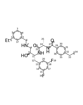 CCc1cccc(CNC[C@H](O)[C@@H](Cc2cc(F)cc(F)c2)NC(=O)[C@H](C)NC(=O)c2ccc(CI)cc2)c1